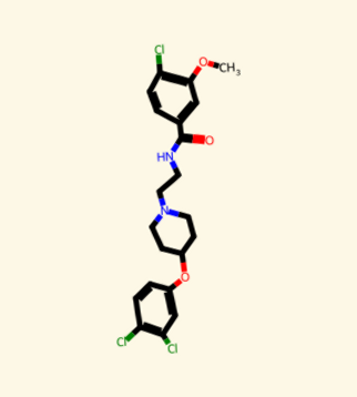 COc1cc(C(=O)NCCN2CCC(Oc3ccc(Cl)c(Cl)c3)CC2)ccc1Cl